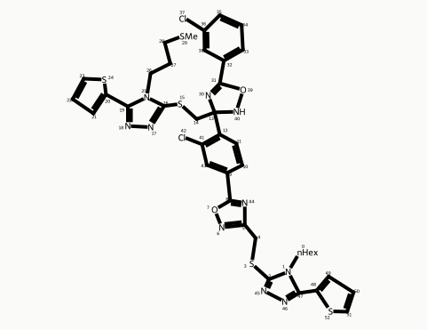 CCCCCCn1c(SCc2noc(-c3ccc(C4(CSc5nnc(-c6cccs6)n5CCCSC)N=C(c5cccc(Cl)c5)ON4)c(Cl)c3)n2)nnc1-c1cccs1